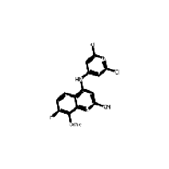 COc1c(F)ccc2c(Nc3cc(Cl)nc(Cl)c3)cc(C#N)nc12